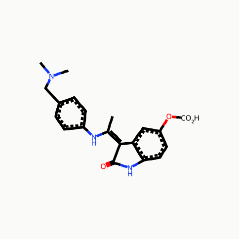 C/C(Nc1ccc(CN(C)C)cc1)=C1/C(=O)Nc2ccc(OC(=O)O)cc21